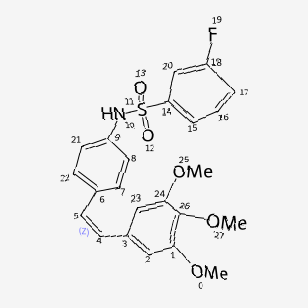 COc1cc(/C=C\c2ccc(NS(=O)(=O)c3cccc(F)c3)cc2)cc(OC)c1OC